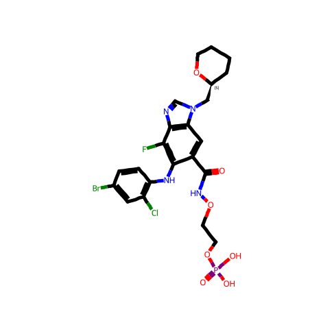 O=C(NOCCOP(=O)(O)O)c1cc2c(ncn2C[C@@H]2CCCCO2)c(F)c1Nc1ccc(Br)cc1Cl